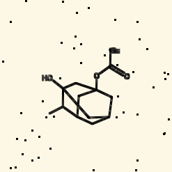 CC1C2CC3CC(OC(=O)C(C)(C)C)(C2)CC1(O)C3